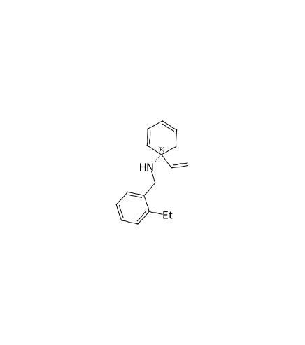 C=C[C@@]1(NCc2ccccc2CC)C=CC=CC1